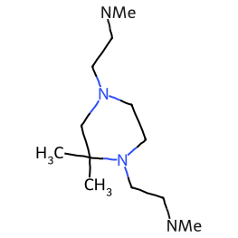 CNCCN1CCN(CCNC)C(C)(C)C1